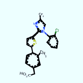 Cc1cc(CC(=O)O)ccc1-c1ccc(-c2nc(C(F)(F)F)cn2-c2ccccc2Cl)s1